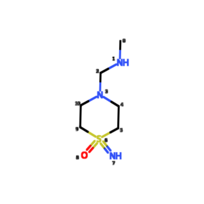 CNCN1CCS(=N)(=O)CC1